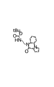 CC(C)(C)OC(=O)NCCn1c(=O)c2cccn2c2ccccc21